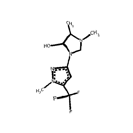 CC1C(O)N(c2cc(C(F)(F)F)n(C)n2)CN1C